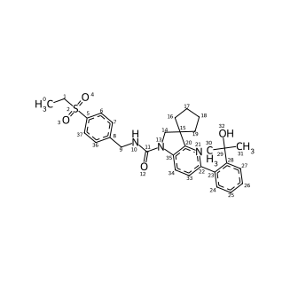 CCS(=O)(=O)c1ccc(CNC(=O)N2CC3(CCCC3)c3nc(-c4ccccc4C(C)(C)O)ccc32)cc1